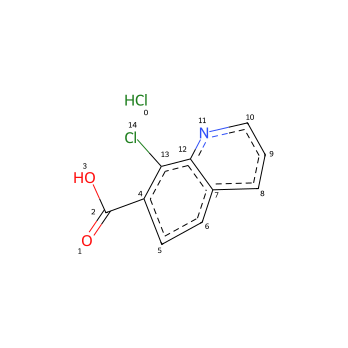 Cl.O=C(O)c1ccc2cccnc2c1Cl